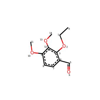 CCOc1c(C=O)ccc(OC)c1OC